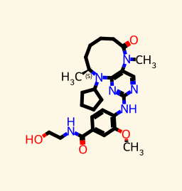 COc1cc(C(=O)NCCO)ccc1Nc1ncc2c(n1)N(C1CCCC1)[C@@H](C)CCCCC(=O)N2C